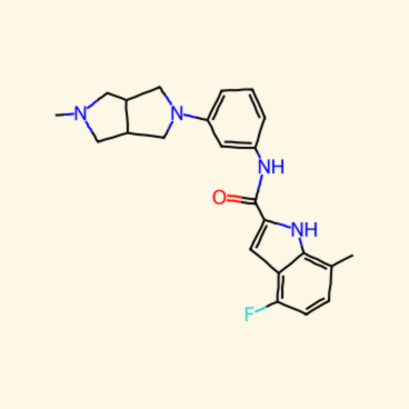 Cc1ccc(F)c2cc(C(=O)Nc3cccc(N4CC5CN(C)CC5C4)c3)[nH]c12